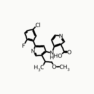 COCC(C)c1cnc(-c2cc(Cl)ccc2F)cc1Nc1ccncc1C(=O)O